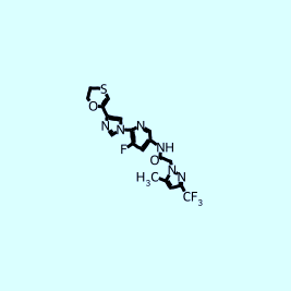 Cc1cc(C(F)(F)F)nn1CC(=O)Nc1cnc(-n2cnc(C3=CSCCO3)c2)c(F)c1